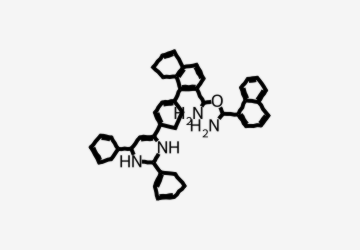 NC(OC(N)c1cccc2ccccc12)c1ccc2c(c1C1=CC=C(C3=CC(C4C=CC=CC4)NC(C4=CC=CCC4)N3)CC1)CCC=C2